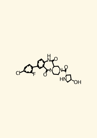 O=C1Nc2ccc(-c3ccc(Cl)cc3F)cc2C(=O)N2CCN(C(=O)[C@@H]3C[C@@H](O)CN3)CC12